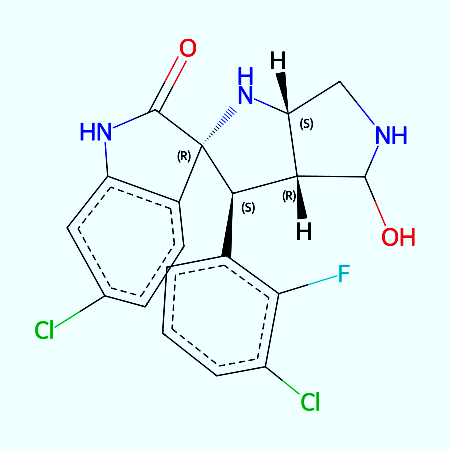 O=C1Nc2cc(Cl)ccc2[C@@]12N[C@@H]1CNC(O)[C@@H]1[C@H]2c1cccc(Cl)c1F